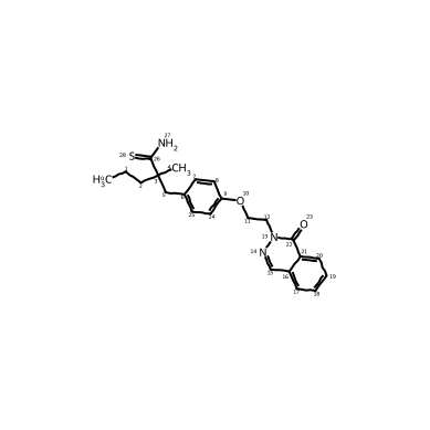 CCCC(C)(Cc1ccc(OCCn2ncc3ccccc3c2=O)cc1)C(N)=S